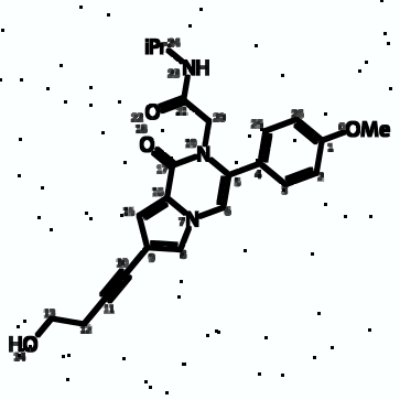 COc1ccc(-c2cn3cc(C#CCCO)cc3c(=O)n2CC(=O)NC(C)C)cc1